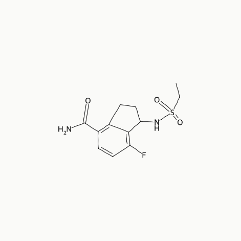 CCS(=O)(=O)NC1CCc2c(C(N)=O)ccc(F)c21